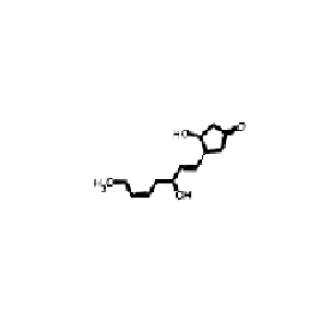 CC/C=C\CC(O)/C=C/[C@@H]1CC(=O)CC1O